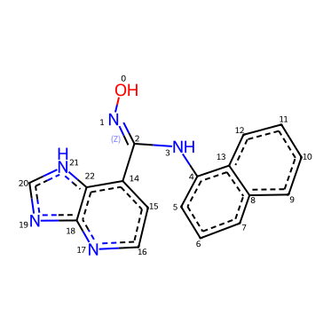 O/N=C(\Nc1cccc2ccccc12)c1ccnc2nc[nH]c12